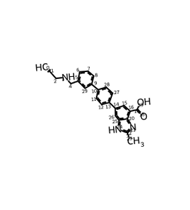 C#CCNCc1cccc(-c2ccc(-c3cc(C(=O)O)c4nc(C)[nH]c4c3)cc2)c1